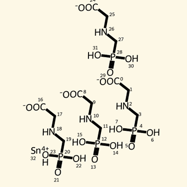 O=C([O-])CNCP(=O)(O)O.O=C([O-])CNCP(=O)(O)O.O=C([O-])CNCP(=O)(O)O.O=C([O-])CNCP(=O)(O)O.[Sn+4]